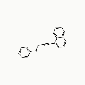 C(#Cc1cccc2ccccc12)CNc1ccccc1